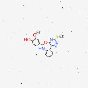 CCOc1cc(C2Nc3ccccc3-c3nnc(SCC)nc3O2)ccc1O